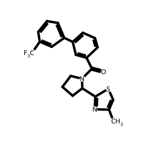 Cc1csc(C2CCCN2C(=O)c2cccc(-c3cccc(C(F)(F)F)c3)c2)n1